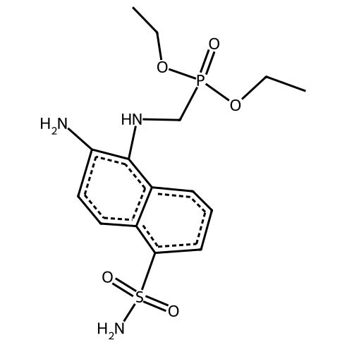 CCOP(=O)(CNc1c(N)ccc2c(S(N)(=O)=O)cccc12)OCC